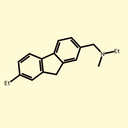 CCc1ccc2c(c1)Cc1cc(CN(C)CC)ccc1-2